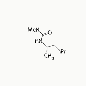 CNC(=O)N[C@@H](C)CC(C)C